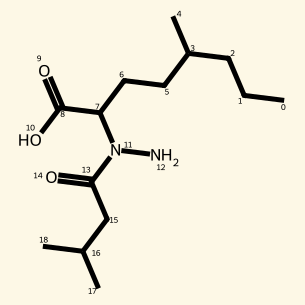 CCCC(C)CCC(C(=O)O)N(N)C(=O)CC(C)C